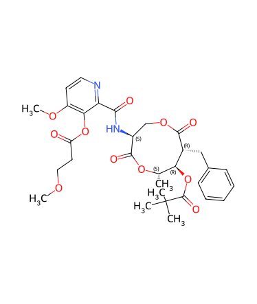 COCCC(=O)Oc1c(OC)ccnc1C(=O)N[C@H]1COC(=O)[C@H](Cc2ccccc2)[C@@H](OC(=O)C(C)(C)C)[C@H](C)OC1=O